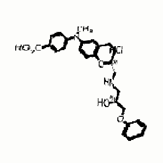 CN(c1ccc(C(=O)O)cc1)c1ccc2c(c1)CC[C@H](CNC[C@H](O)COc1ccccc1)O2.Cl